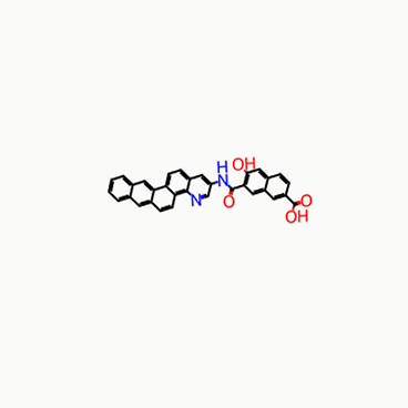 O=C(O)c1ccc2cc(O)c(C(=O)Nc3cnc4c(ccc5c6cc7ccccc7cc6ccc54)c3)cc2c1